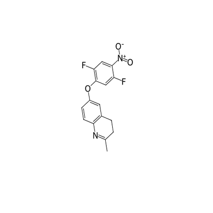 CC1=Nc2ccc(Oc3cc(F)c([N+](=O)[O-])cc3F)cc2CC1